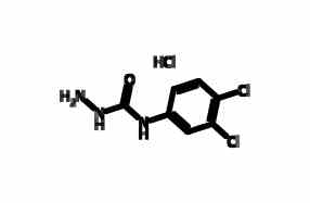 Cl.NNC(=O)Nc1ccc(Cl)c(Cl)c1